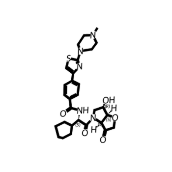 CN1CCN(c2nc(-c3ccc(C(=O)N[C@H](C(=O)N4C[C@@H](O)[C@H]5OCC(=O)[C@H]54)C4CCCCC4)cc3)cs2)CC1